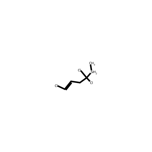 C[SiH2]C(Cl)(Cl)CC=CCl